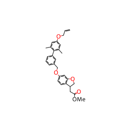 C=CCOc1cc(C)c(-c2cccc(COc3ccc4c(c3)OCC4CC(=O)OC)c2)c(C)c1